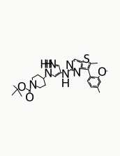 COc1cc(C)ccc1-c1c(C)sc2cnc(N/C(C=N)=C/NC3CCN(C(=O)OC(C)(C)C)CC3)nc12